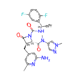 CCC[C@@H](NC(=O)N1C(=O)[C@H](Cc2cc(C)nc(N)c2)[C@H]1C(=O)N(C)c1cnn(C)c1)c1cc(F)ccc1F